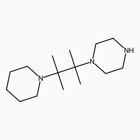 CC(C)(N1CCCCC1)C(C)(C)N1CCNCC1